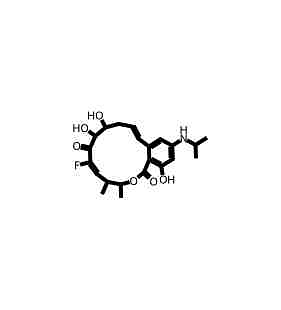 CC(C)Nc1cc(O)c2c(c1)/C=C/CC(O)C(O)C(=O)/C(F)=C\C(C)C(C)OC2=O